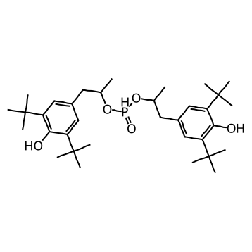 CC(Cc1cc(C(C)(C)C)c(O)c(C(C)(C)C)c1)O[PH](=O)OC(C)Cc1cc(C(C)(C)C)c(O)c(C(C)(C)C)c1